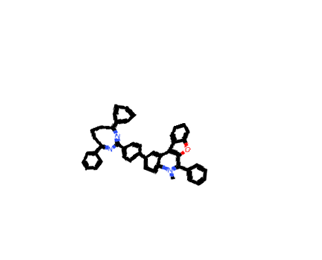 CN1c2ccc(-c3ccc(C4=N/C(c5ccccc5)CCC/C(c5ccccc5)=N\4)cc3)cc2-c2c(oc3ccccc23)C1c1ccccc1